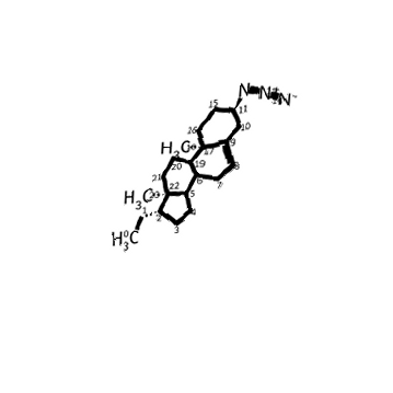 CC[C@H]1CCC2C3CC=C4C[C@H](N=[N+]=[N-])CC[C@]4(C)C3CC[C@@]21C